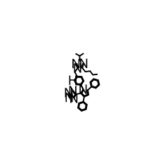 CCCCc1nc(C(C)C)nn1Cc1ccc(-n2c(-c3ccccc3)cc(-c3ccccc3)c2-c2nnn[nH]2)cc1